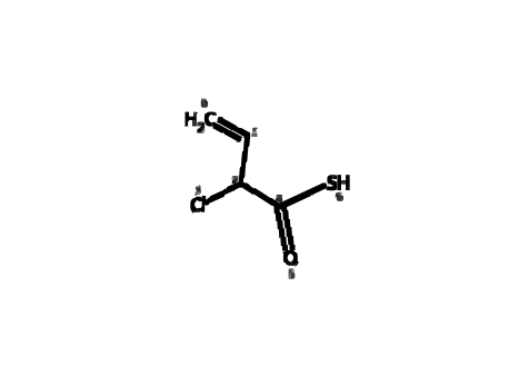 C=CC(Cl)C(=O)S